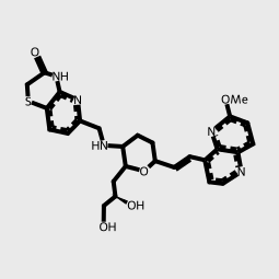 COc1ccc2nccc(C=CC3CCC(NCc4ccc5c(n4)NC(=O)CS5)C(C[C@@H](O)CO)O3)c2n1